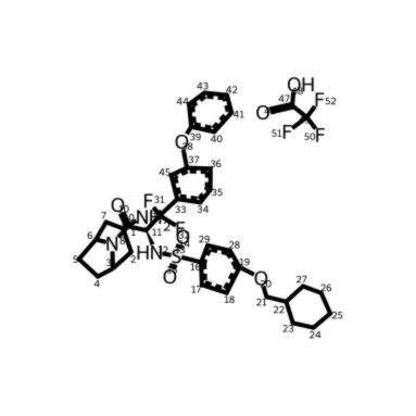 NC1CC2CCC(C1)N2C(=O)[C@H](NS(=O)(=O)c1ccc(OCC2CCCCC2)cc1)C(F)(F)c1cccc(Oc2ccccc2)c1.O=C(O)C(F)(F)F